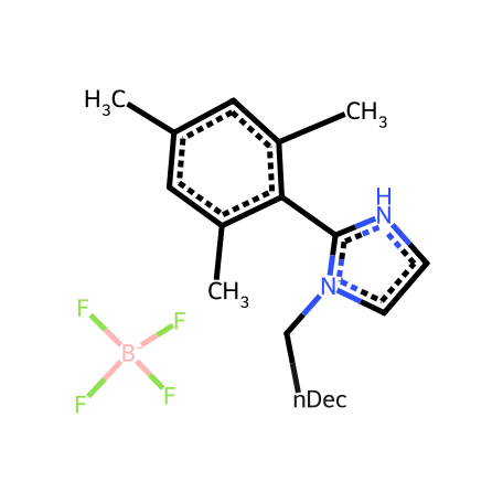 CCCCCCCCCCC[n+]1cc[nH]c1-c1c(C)cc(C)cc1C.F[B-](F)(F)F